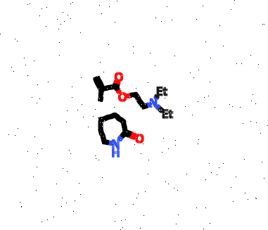 C=C(C)C(=O)OCCN(CC)CC.O=C1CCCCCN1